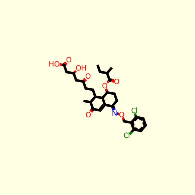 CCC(C)C(=O)OC1CCC(=NOCc2c(Cl)cccc2Cl)C2=CC(=O)C(C)C(CCC(=O)CC(O)CC(=O)O)C21